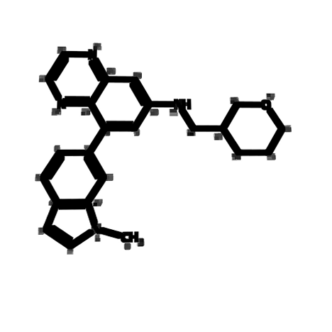 Cn1ccc2ccc(-c3cc(NCC4CCCOC4)cc4nccnc34)cc21